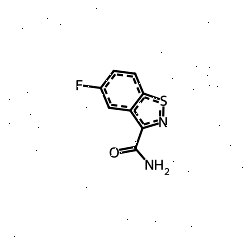 NC(=O)c1nsc2ccc(F)cc12